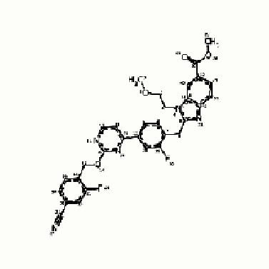 COCCn1c(Cc2ccc(-c3ccnc(OCc4ccc(C#N)cc4F)n3)cc2F)nc2ccc(C(=O)OC)cc21